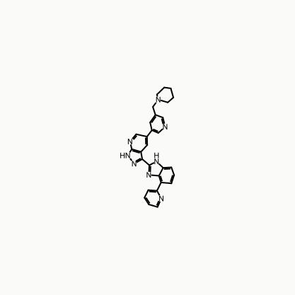 c1ccc(-c2cccc3[nH]c(-c4n[nH]c5ncc(-c6cncc(CN7CCCCC7)c6)cc45)nc23)nc1